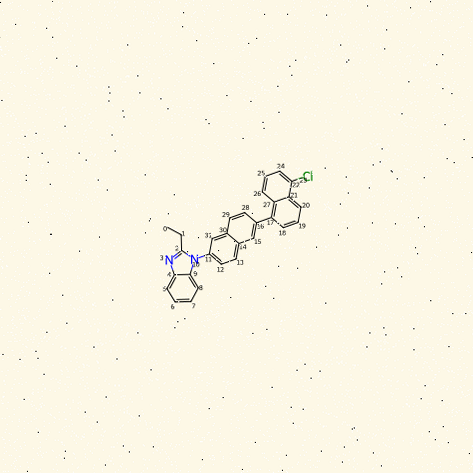 CCc1nc2ccccc2n1-c1ccc2cc(-c3cccc4c(Cl)cccc34)ccc2c1